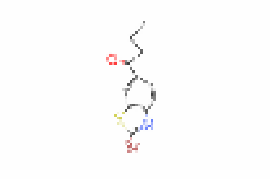 CCCC(=O)c1ccc2nc(Br)sc2c1